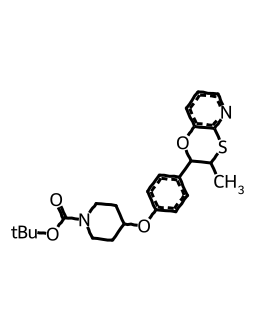 CC1Sc2ncccc2OC1c1ccc(OC2CCN(C(=O)OC(C)(C)C)CC2)cc1